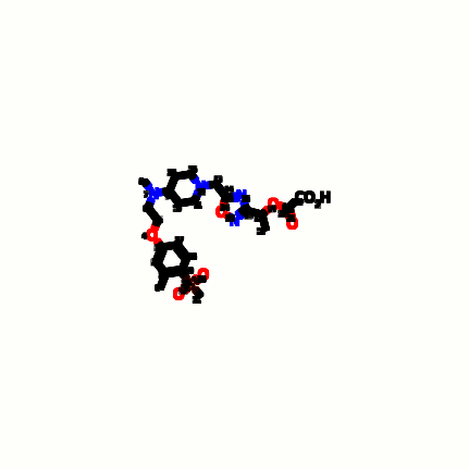 Cc1cc(OCCN(C)C2CCN(Cc3nc(C(C)OC(=O)C(=O)O)no3)CC2)ccc1S(C)(=O)=O